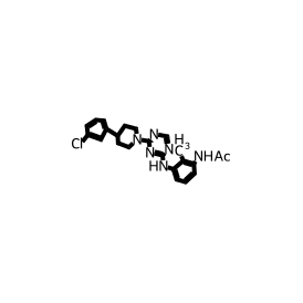 CC(=O)Nc1cccc(Nc2ncnc(N3CCC(c4cccc(Cl)c4)CC3)n2)c1C